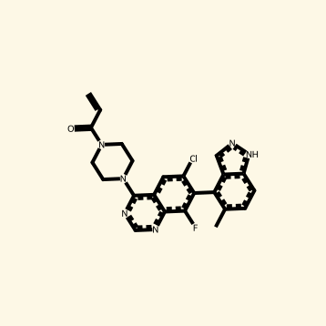 C=CC(=O)N1CCN(c2ncnc3c(F)c(-c4c(C)ccc5[nH]ncc45)c(Cl)cc23)CC1